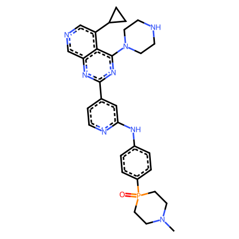 CN1CCP(=O)(c2ccc(Nc3cc(-c4nc(N5CCNCC5)c5c(C6CC6)cncc5n4)ccn3)cc2)CC1